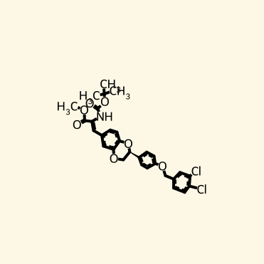 COC(=O)C(=Cc1ccc2c(c1)OC[C@H](c1ccc(OCc3ccc(Cl)c(Cl)c3)cc1)O2)NC(=O)OC(C)(C)C